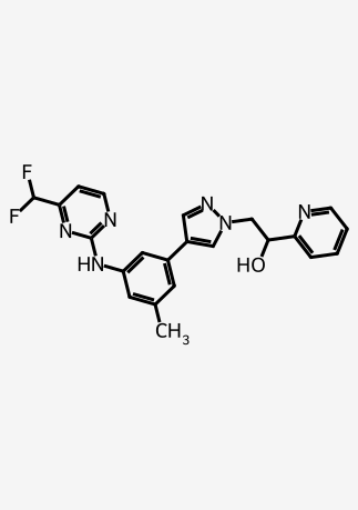 Cc1cc(Nc2nccc(C(F)F)n2)cc(-c2cnn(CC(O)c3ccccn3)c2)c1